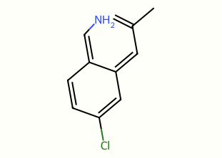 C=C(C)/C=c1/cc(Cl)cc/c1=C/N